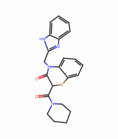 O=C(C1Sc2ccccc2N(Cc2nc3ccccc3[nH]2)C1=O)N1CCCCC1